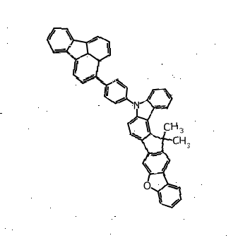 CC1(C)c2cc3c(cc2-c2ccc4c(c21)c1ccccc1n4-c1ccc(C2=CC=C4c5ccccc5C5=CC=CC2C54)cc1)oc1ccccc13